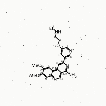 CCNCCOc1cncc(-c2cc3c(cnc4cc(OC)c(OC)cc43)c(N)n2)c1